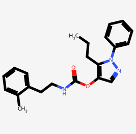 CCCc1c(OC(=O)NCCc2ccccc2C)cnn1-c1ccccc1